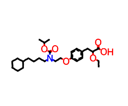 CCOC(Cc1ccc(OCCN(CCCCC2CCCCC2)C(=O)OC(C)C)cc1)C(=O)O